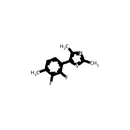 Cc1nc(C)c(-c2ccc(C)c(F)c2F)s1